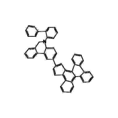 c1ccc(-c2ccccc2N2Cc3ccccc3-c3cc(-c4ccc5c6ccccc6c6c7ccccc7c7ccccc7c6c5c4)ccc32)cc1